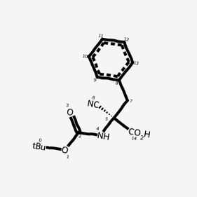 CC(C)(C)OC(=O)N[C@@](C#N)(Cc1ccccc1)C(=O)O